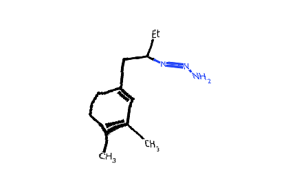 CCC(CC1=CC(C)=C(C)CC1)N=NN